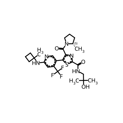 C[C@H]1CCCN1C(=O)c1nc(C(=O)NCC(C)(C)O)sc1-c1cnc(NC2(C)CCC2)cc1C(F)(F)F